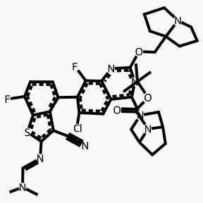 CN(C)/C=N/c1sc2c(F)ccc(-c3c(Cl)cc4c(N5CC6CCC(C5)N6C(=O)OC(C)(C)C)nc(OCC56CCCN5CCC6)nc4c3F)c2c1C#N